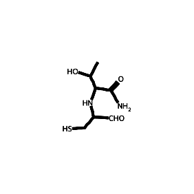 CC(O)C(NC(C=O)CS)C(N)=O